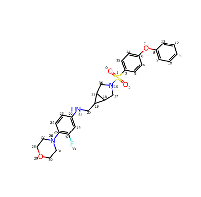 O=S(=O)(c1ccc(Oc2ccccc2)cc1)N1CC2C(CNc3ccc(N4CCOCC4)c(F)c3)C2C1